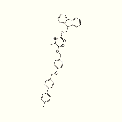 Cc1ccc(-c2ccc(COc3ccc(COC(=O)C(C)NC(=O)OCC4c5ccccc5-c5ccccc54)cc3)cc2)cc1